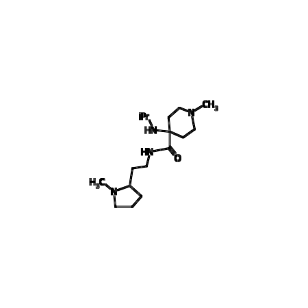 CC(C)NC1(C(=O)NCCC2CCCN2C)CCN(C)CC1